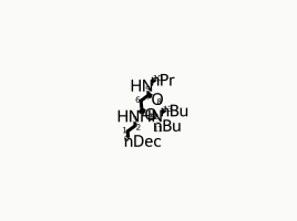 CCCCCCCCCCCCNC(=O)CC(=O)NCCC.CCCCNCCCC